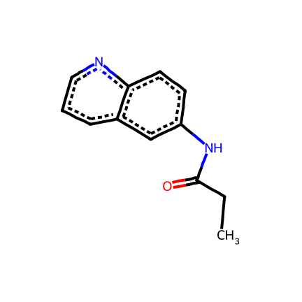 CCC(=O)Nc1ccc2ncccc2c1